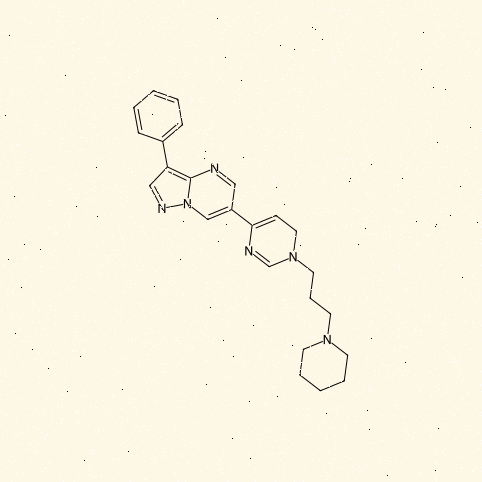 C1=NC(c2cnc3c(-c4ccccc4)cnn3c2)=CCN1CCCN1CCCCC1